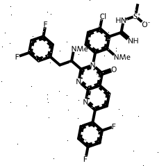 CNc1c(-n2c(C(Cc3cc(F)cc(F)c3)NC)nc3nc(-c4ccc(F)cc4F)ccc3c2=O)ccc(Cl)c1C(=N)N[S+](C)[O-]